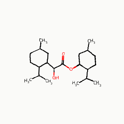 CC1CCC(C(C)C)C(OC(=O)C(O)C2CC(C)CCC2C(C)C)C1